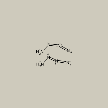 [N-]=[N+]=NN.[N-]=[N+]=NN